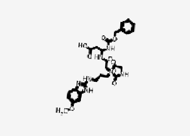 COc1ccc2nc(NCCC[N+]3(CC(=O)NC(CC(=O)O)NC(=O)OCc4ccccc4)C(=O)CNC3=O)[nH]c2c1